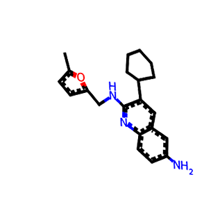 Cc1ccc(CNc2nc3ccc(N)cc3cc2C2CCCCC2)o1